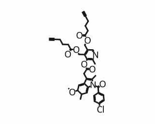 C#CCCCC(=O)OCc1cnc(C)c(OC(=O)Cc2c(C)n(C(=O)c3ccc(Cl)cc3)c3c2=CC(OC)C(C)C=3)c1COC(=O)CCCC#C